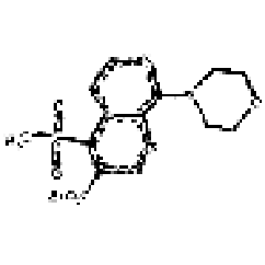 CCOC(=O)c1cnc2c(N3CCOCC3)nccc2c1S(C)(=O)=O